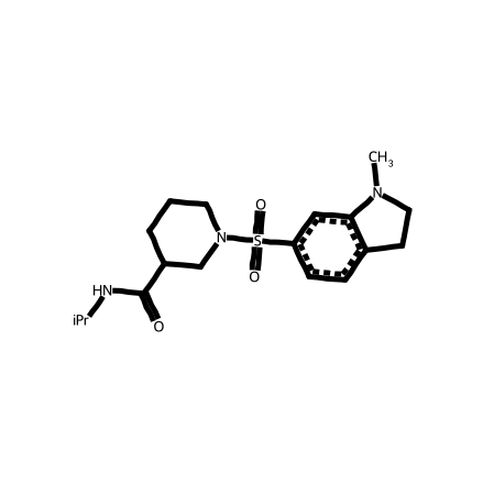 CC(C)NC(=O)C1CCCN(S(=O)(=O)c2ccc3c(c2)N(C)CC3)C1